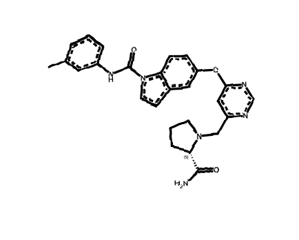 Cc1cccc(NC(=O)n2ccc3cc(Oc4cc(CN5CCC[C@H]5C(N)=O)ncn4)ccc32)c1